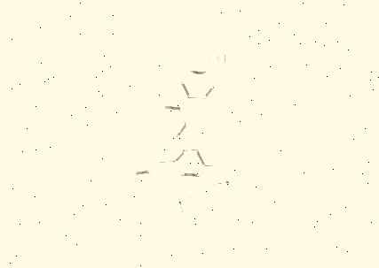 C=CCc1c(C=CC(=O)c2ccc(O)cc2)cc(OC(C)(C)C)cc1OC(C)(C)C